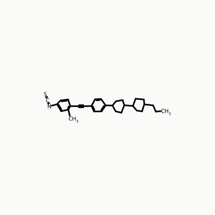 CCCC1CCC(C2CCC(c3ccc(C#Cc4ccc(N=C=S)cc4C)cc3)CC2)CC1